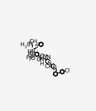 C[C@@H]1Cc2c(ncnc2NS(=O)(=O)c2ccc(N[C@H](CCN(C)C)CSc3ccccc3)c(S(=O)(=O)C(F)(F)F)c2)CN1C1CCN(Cc2ccccc2-c2ccc(Cl)cc2)CC1